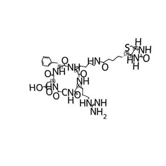 N=C(N)NCCC[C@@H]1NC(=O)[C@H](CCCCNC(=O)CCCC[C@@H]2SC[C@@H]3NC(=O)N[C@@H]32)NC(=O)[C@@H](Cc2ccccc2)NC(=O)[C@H](CC(=O)O)NC(=O)CNC1=O